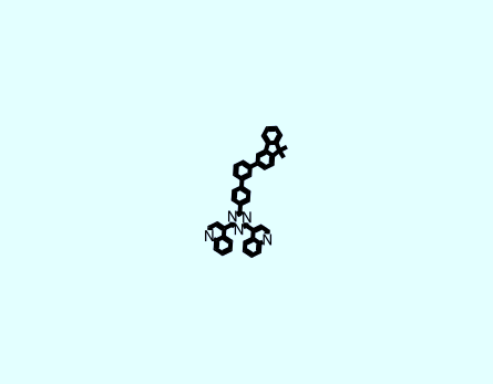 CC1(C)c2ccccc2-c2cc(-c3cccc(-c4ccc(-c5nc(-c6ccnc7ccccc67)nc(-c6ccnc7ccccc67)n5)cc4)c3)ccc21